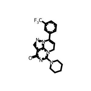 O=c1nc(N2CCCCC2)n2c3c1cnn3C(c1cccc(C(F)(F)F)c1)=CC2